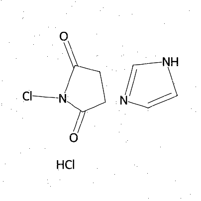 Cl.O=C1CCC(=O)N1Cl.c1c[nH]cn1